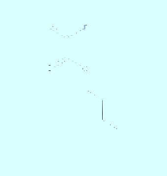 C=C(F)C(=O)OCCCCC